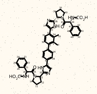 Cc1c(-c2ccc(-c3cnc(C4CCCN4C(=O)C(NC(=O)O)c4ccccc4)[nH]3)cc2)ccc(-c2cnc([C@@H]3CCCN3C(=O)[C@H](NC(=O)O)c3ccccc3)[nH]2)c1C